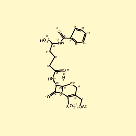 CC(=O)OCC1=C(C(=O)O)N2C(=O)[C@@H](NC(=O)CCCC(NC(=O)c3ccccc3)C(=O)O)[C@H]2SC1